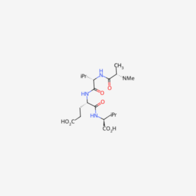 CN[C@@H](C)C(=O)N[C@H](C(=O)N[C@@H](CCC(=O)O)C(=O)N[C@H](C(=O)O)C(C)C)C(C)C